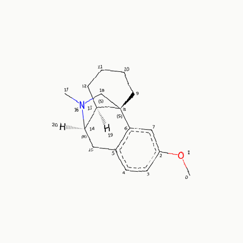 COc1ccc2c(c1)[C@]13CCCC[C@@H]1[C@@H](C2)N(C)C3